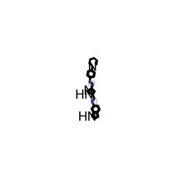 C(=C\c1cc(/C=C/c2ccc3cc[nH]c3c2)[nH]n1)/c1ccc(N2CCCCC2)cc1